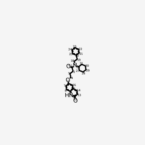 O=C(CCCOc1ccc2[nH]c(=O)ccc2c1)N(CCc1ccccc1)C1CCCCC1